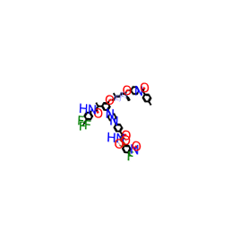 C#C/C(=C\C=C(/C)COc1cc(C(C)C(=O)Nc2ccc(C(F)(F)F)cc2)cc(N2CCN(c3ccc(C(=O)NS(=O)(=O)c4ccc(F)c(N=O)c4)cc3)CC2)c1)OC1CCN(C(=O)c2ccc(C)cc2)CC1